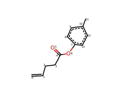 C=CCCC(=O)Oc1ccc(C)cc1